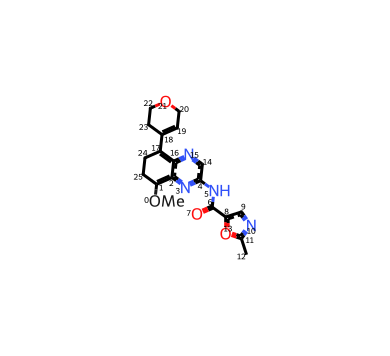 COC1=c2nc(NC(=O)c3cnc(C)o3)cnc2=C(C2=CCOCC2)CC1